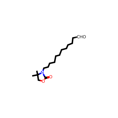 CC1(C)COC(=O)N1CCCCCCCCCCCC=O